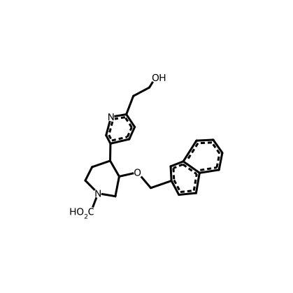 O=C(O)N1CCC(c2ccc(CCO)nc2)C(OCc2ccc3ccccc3c2)C1